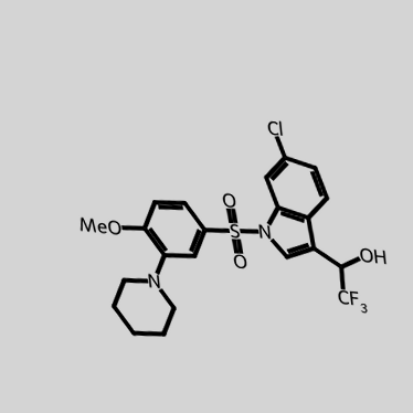 COc1ccc(S(=O)(=O)n2cc(C(O)C(F)(F)F)c3ccc(Cl)cc32)cc1N1CCCCC1